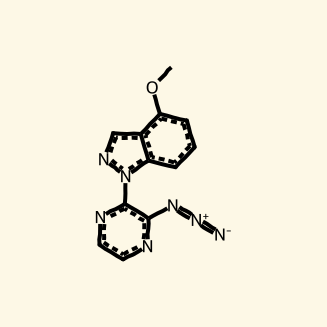 COc1cccc2c1cnn2-c1nccnc1N=[N+]=[N-]